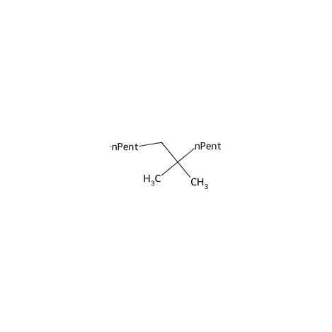 CCCC[CH]CC(C)(C)CCCCC